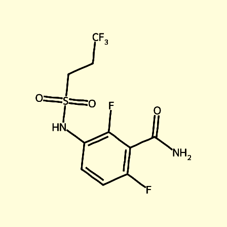 NC(=O)c1c(F)ccc(NS(=O)(=O)CCC(F)(F)F)c1F